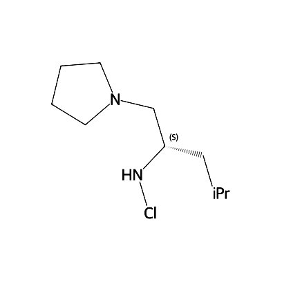 CC(C)C[C@@H](CN1CCCC1)NCl